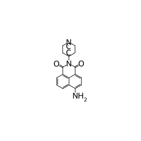 Nc1ccc2c3c(cccc13)C(=O)N(C13CCN(CC1)CC3)C2=O